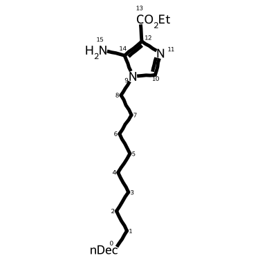 CCCCCCCCCCCCCCCCCCn1cnc(C(=O)OCC)c1N